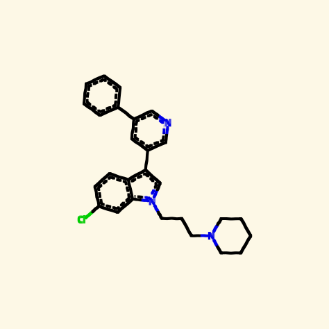 Clc1ccc2c(-c3cncc(-c4ccccc4)c3)cn(CCCN3CCCCC3)c2c1